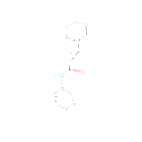 [CH2]c1ccc(NC(=O)/C=C/c2ccccc2)cc1